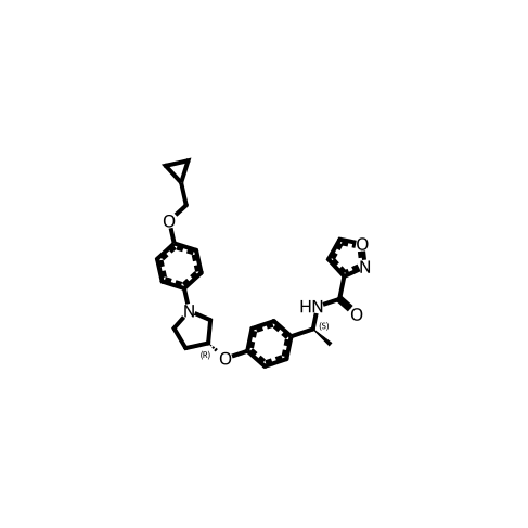 C[C@H](NC(=O)c1ccon1)c1ccc(O[C@@H]2CCN(c3ccc(OCC4CC4)cc3)C2)cc1